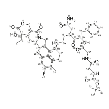 CC[C@@]1(O)C(=O)OCc2c1cc1n(c2=O)Cc2c-1nc1cc(F)c(C)c3c1c2[C@@H](NCCN(CC(N)=O)C(=O)[C@H](Cc1ccccc1)NC(=O)CNC(=O)CNC(=O)OC(C)(C)C)CC3